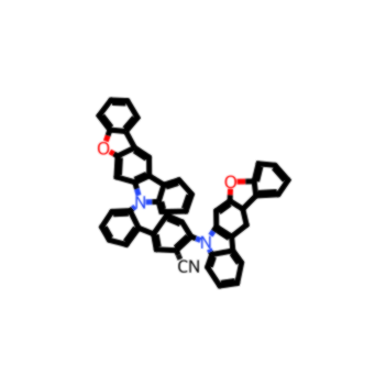 N#Cc1cc(-c2ccccc2-n2c3ccccc3c3cc4c(cc32)oc2ccccc24)ccc1-n1c2c(c3ccccc31)CC1C(=C2)Oc2ccccc21